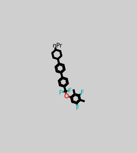 CCCC1CCC(c2ccc(-c3ccc(C(F)(F)Oc4cc(F)c(C)c(F)c4C)cc3)cc2)CC1